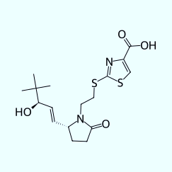 CC(C)(C)[C@H](O)C=C[C@H]1CCC(=O)N1CCSc1nc(C(=O)O)cs1